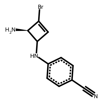 N#Cc1ccc(NC2C=C(Br)[C@@H]2N)cc1